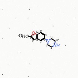 O=[C]c1cc2cc(N3CCNCC3)ccc2o1